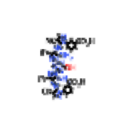 [C-]#[N+]c1cnn(-c2cccc(C(=O)O)c2)c1N=Nc1c(C(C)C)nn(-c2nc(O)nc(-n3nc(C(C)C)c(N=Nc4c(C#N)cnn4-c4cccc(C(=O)O)c4)c3N)n2)c1N